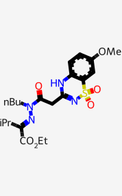 CCCCN(N=C(C(=O)OCC)C(C)C)C(=O)CC1=NS(=O)(=O)c2cc(OC)ccc2N1